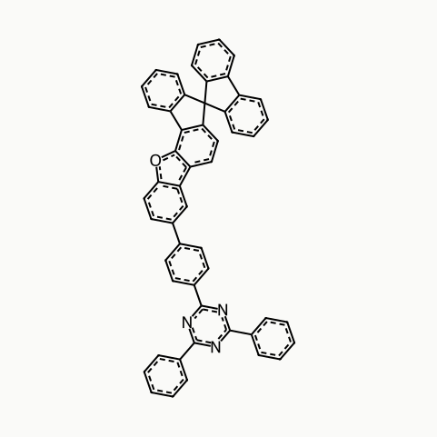 c1ccc(-c2nc(-c3ccccc3)nc(-c3ccc(-c4ccc5oc6c7c(ccc6c5c4)C4(c5ccccc5-c5ccccc54)c4ccccc4-7)cc3)n2)cc1